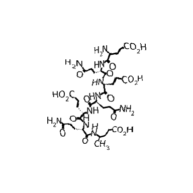 C[C@H](CCC(=O)O)NC(=O)[C@H](CCC(N)=O)NC(=O)[C@H](CCC(=O)O)NC(=O)[C@H](CCC(N)=O)NC(=O)[C@H](CCC(=O)O)NC(=O)[C@H](CCC(N)=O)NC(=O)[C@@H](N)CCC(=O)O